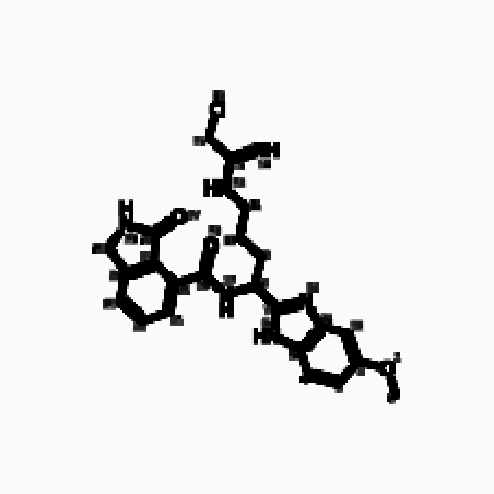 COc1ccc2[nH]c(C(CCCNC(=N)CCl)NC(=O)c3cccc4c3C(=O)NC4)nc2c1